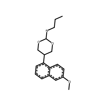 CCC[N]C1OCC(c2cccc3cc(OC)ccc23)CO1